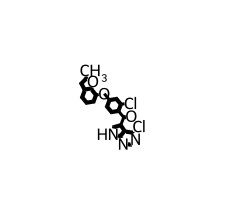 Cc1cc2cccc(Oc3ccc(C(=O)c4c[nH]c5ncnc(Cl)c45)c(Cl)c3)c2o1